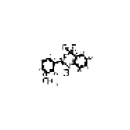 Cc1cccc(C=[N+]([O-])c2ccccc2C(F)(F)F)c1